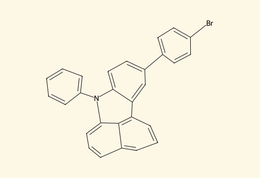 Brc1ccc(-c2ccc3c(c2)-c2cccc4cccc(c24)N3c2ccccc2)cc1